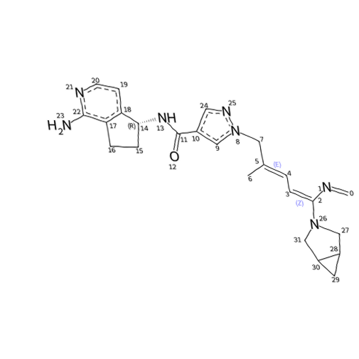 C=N/C(=C\C=C(/C)Cn1cc(C(=O)N[C@@H]2CCc3c2ccnc3N)cn1)N1CC2CC2C1